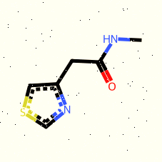 CNC(=O)Cc1cscn1